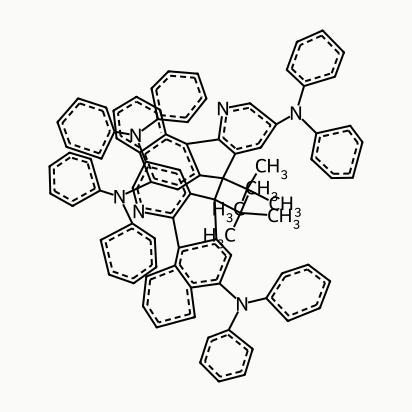 CC(C)(C)C1(C2(C(C)(C)C)c3cc(N(c4ccccc4)c4ccccc4)cnc3-c3c2cc(N(c2ccccc2)c2ccccc2)c2ccccc32)c2cc(N(c3ccccc3)c3ccccc3)cnc2-c2c1cc(N(c1ccccc1)c1ccccc1)c1ccccc21